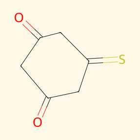 O=C1CC(=O)CC(=S)C1